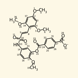 COc1cc(OC)c(/C=C/S(=O)(=O)Nc2ccc(OC)c(OC(=O)c3ccc([N+](=O)[O-])cc3)c2)c(OC)c1